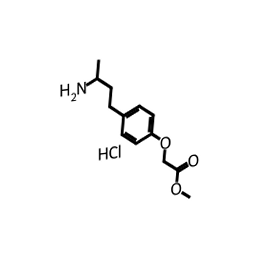 COC(=O)COc1ccc(CCC(C)N)cc1.Cl